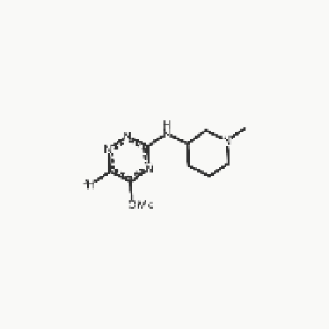 [2H]c1nnc(NC2CCCN(C)C2)nc1OC